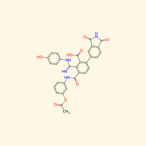 CC(=O)Oc1cccc(NC(=O)c2ccc(-c3ccc4c(c3)C(=O)NC4=O)c(C(=O)O)c2C(=N)Nc2ccc(O)cc2)c1